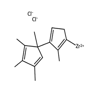 CC1=CC(C)(C2=CC[C]([Zr+2])=C2C)C(C)=C1C.[Cl-].[Cl-]